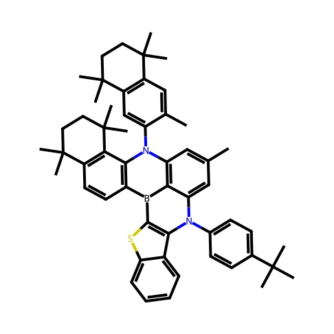 Cc1cc2c3c(c1)N(c1ccc(C(C)(C)C)cc1)c1c(sc4ccccc14)B3c1ccc3c(c1N2c1cc2c(cc1C)C(C)(C)CCC2(C)C)C(C)(C)CCC3(C)C